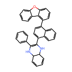 C1=CC2NC(c3ccccc3)=C(c3ccc(-c4cccc5oc6ccccc6c45)c4ccccc34)NC2C=C1